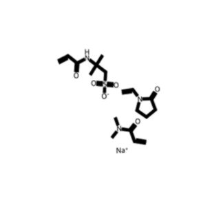 C=CC(=O)N(C)C.C=CC(=O)NC(C)(C)CS(=O)(=O)[O-].C=CN1CCCC1=O.[Na+]